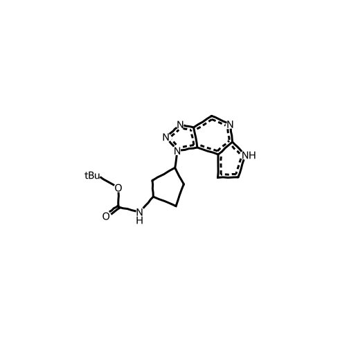 CC(C)(C)OC(=O)NC1CCC(n2nnc3cnc4[nH]ccc4c32)C1